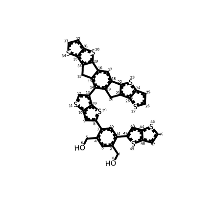 OCc1cc(CO)c(-c2cc3scc(-c4c5c(cc6c4Cc4c-6sc6ccsc46)-c4sc6ccsc6c4C5)c3s2)cc1-c1cc2sccc2s1